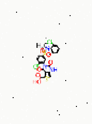 CN(c1ccccc1Cl)S(=O)(=O)c1ccc(Cl)c(-n2c(=O)[nH]c3csc(C(=O)O)c3c2=O)c1